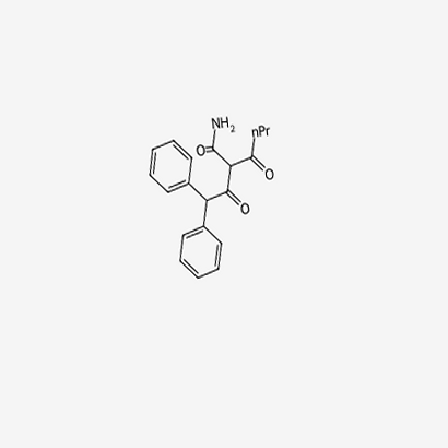 CCCC(=O)C(C(N)=O)C(=O)C(c1ccccc1)c1ccccc1